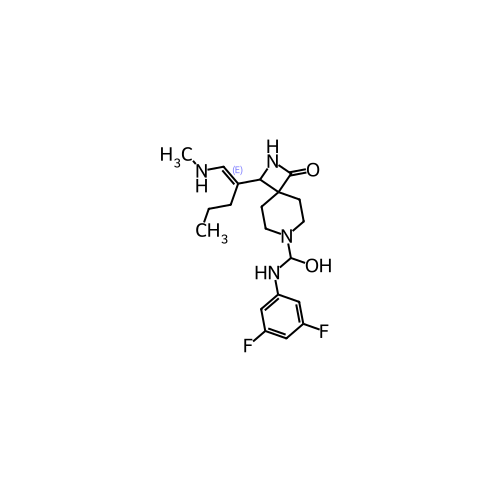 CCC/C(=C\NC)C1NC(=O)C12CCN(C(O)Nc1cc(F)cc(F)c1)CC2